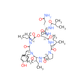 CCC(C)C(=O)N[C@@H](CCC(N)=O)C(=O)N[C@@H]1C(=O)N[C@@H](CC(C)C)C(=O)N2CCC[C@H]2C(=O)NC(C(C)CC)C(=O)N(C)[C@@H](Cc2ccc(O)cc2)C(=O)N[C@@H](C(C)CC)C(=O)OC1C